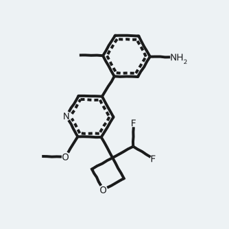 COc1ncc(-c2cc(N)ccc2C)cc1C1(C(F)F)COC1